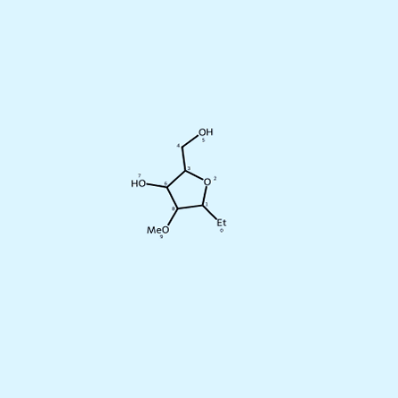 CCC1OC(CO)C(O)C1OC